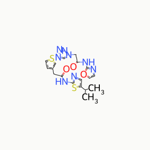 CC(C)c1cnc(NC(=O)Cc2ccsc2)s1.O=C(Cn1cnnn1)Nc1ncco1